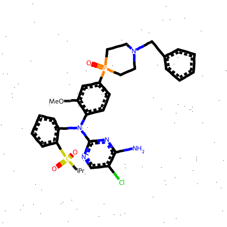 COc1cc(P2(=O)CCN(Cc3ccccc3)CC2)ccc1N(c1ncc(Cl)c(N)n1)c1ccccc1S(=O)(=O)C(C)C